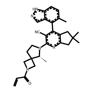 C=CC(=O)N1CC2(CCN(c3nc4c(c(-c5c(C)ccc6[nH]ncc56)c3C#N)CC(C)(C)C4)[C@@H]2C)C1